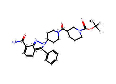 CC(C)(C)OC(=O)N1CCCC(C(=O)N2CCC(n3nc4c(C(N)=O)cccc4c3-c3ccccc3)CC2)C1